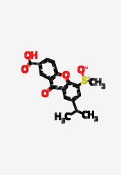 CC(C)c1cc([S+](C)[O-])c2oc3ccc(C(=O)O)cc3c(=O)c2c1